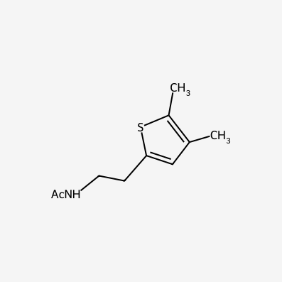 CC(=O)NCCc1cc(C)c(C)s1